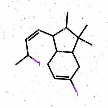 CC(I)/C=C\C1C2CC=C(I)CC2C(C)(C)C1C